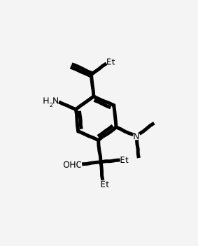 C=C(CC)c1cc(N(C)C)c(C(C=O)(CC)CC)cc1N